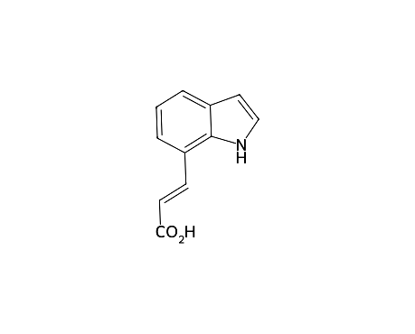 O=C(O)/C=C/c1cccc2cc[nH]c12